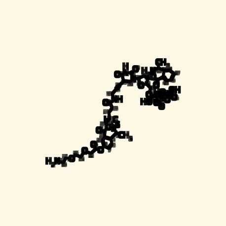 CSSC(C)c1ccc(OC(=O)COCCOCCN)cc1C(=O)OCCCCC(=O)NCC#Cc1cn([C@H]2C[C@@H](OC(=O)c3ccccc3C(C)N)C(COP(=O)(O)OP(=O)(O)OP(=O)(O)O)O2)c(=O)[nH]c1=O